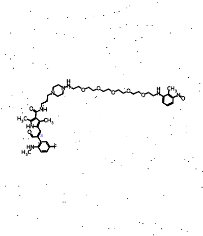 CNc1ccc(F)cc1/C(C=O)=C/c1[nH]c(C)c(C(=O)NCCCN2CCN(NCCOCCOCCOCCOCCOCCNc3cccc(N=O)c3C)CC2)c1C